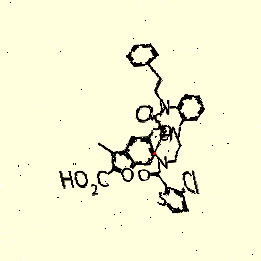 Cc1c(C(=O)O)oc2ccc(S(=O)(=O)N(CCc3ccccc3)c3ccccc3N3CCN(C(=O)c4sccc4Cl)CC3)cc12